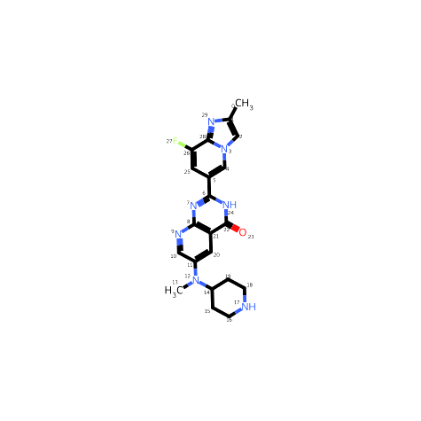 Cc1cn2cc(-c3nc4ncc(N(C)C5CCNCC5)cc4c(=O)[nH]3)cc(F)c2n1